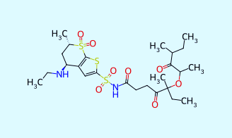 CCN[C@H]1C[C@H](C)S(=O)(=O)c2sc(S(=O)(=O)NC(=O)CCC(=O)C(C)(CC)OC(C)C(=O)C(C)CC)cc21